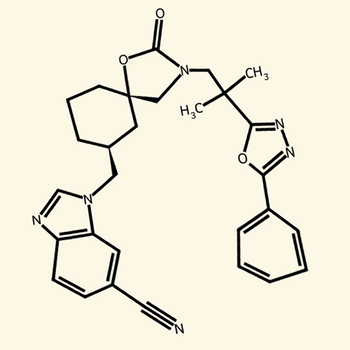 CC(C)(CN1C[C@@]2(CCC[C@H](Cn3cnc4ccc(C#N)cc43)C2)OC1=O)c1nnc(-c2ccccc2)o1